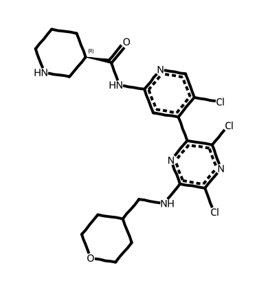 O=C(Nc1cc(-c2nc(NCC3CCOCC3)c(Cl)nc2Cl)c(Cl)cn1)[C@@H]1CCCNC1